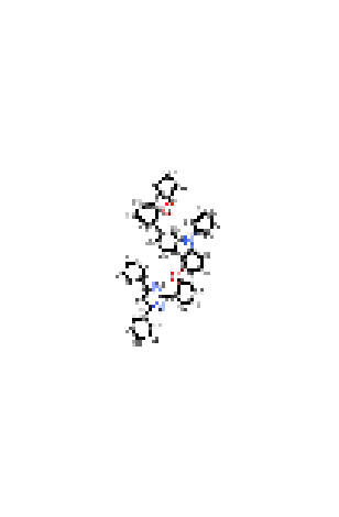 c1ccc(-c2cc(-c3ccccc3)nc(-c3cccc4c3oc3c4ccc4c3c3ccc(-c5cccc6c5oc5ccccc56)cc3n4-c3ccccc3)n2)cc1